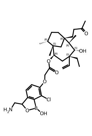 C=C[C@]1(CC)C[C@@H](OC(=O)COc2ccc3c(c2Cl)B(O)OC3CN)[C@@]2(C)C[C@](CCC(C)=O)(CC[C@H]2C)[C@@H](C)[C@@H]1O